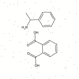 CC(N)c1ccccc1.O=C(O)c1ccccc1C(=O)O